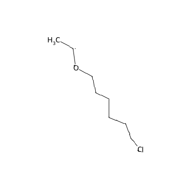 C[CH]OCCCCCCCl